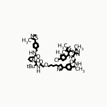 Cc1ncsc1-c1ccc(CNC(=O)[C@@H]2CCCN2C(=O)C(NC(=O)COCCCCC2C=C(c3ccc([C@@H](C)NC(=O)C[C@@H]4N=C(c5ccc(Cl)cc5)c5c(sc(C)c5C)-n5c(C)nnc54)cc3)C=N2)C(C)(C)C)cc1